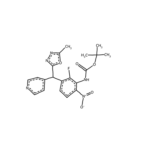 Cc1nnc(C(c2ccncc2)c2ccc([N+](=O)[O-])c(NC(=O)OC(C)(C)C)c2F)o1